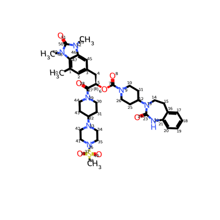 Cc1cc(C[C@@H](OC(=O)N2CCC(N3CCc4ccccc4NC3=O)CC2)C(=O)N2CCC(N3CCN(S(C)(=O)=O)CC3)CC2)cc2c1n(C)c(=O)n2C